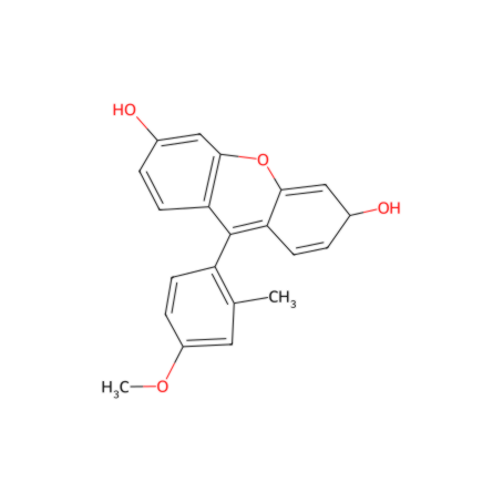 COc1ccc(C2=C3C=CC(O)C=C3Oc3cc(O)ccc32)c(C)c1